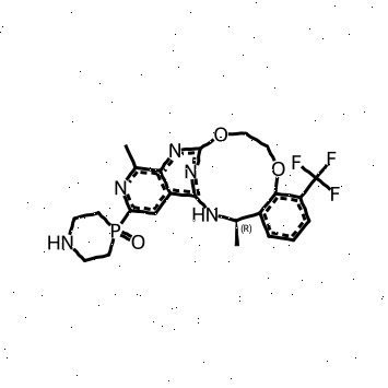 Cc1nc(P2(=O)CCNCC2)cc2c3nc(nc12)OCCOc1c(cccc1C(F)(F)F)[C@@H](C)N3